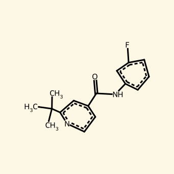 CC(C)(C)c1cc(C(=O)Nc2cccc(F)c2)ccn1